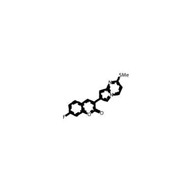 CSc1ccn2cc(-c3cc4ccc(F)cc4oc3=O)cc2n1